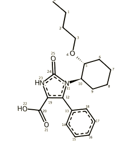 CCCCO[C@@H]1CCCC[C@H]1n1c(-c2ccccc2)c(C(=O)O)[nH]c1=O